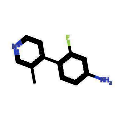 Cc1cnccc1-c1ccc(N)cc1F